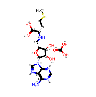 CSCC[C@H](NC[C@H]1O[C@@H](n2cnc3c(N)ncnc32)[C@H](O)[C@@H]1O)C(=O)O.O=C(O)O